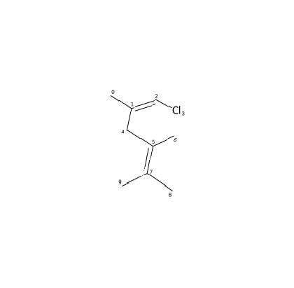 CC(=CCl)CC(C)=C(C)C